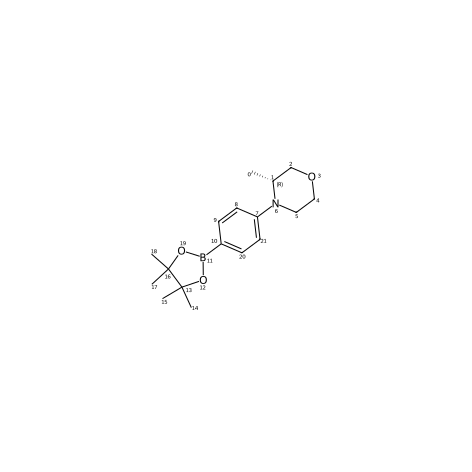 C[C@@H]1COCCN1c1ccc(B2OC(C)(C)C(C)(C)O2)cc1